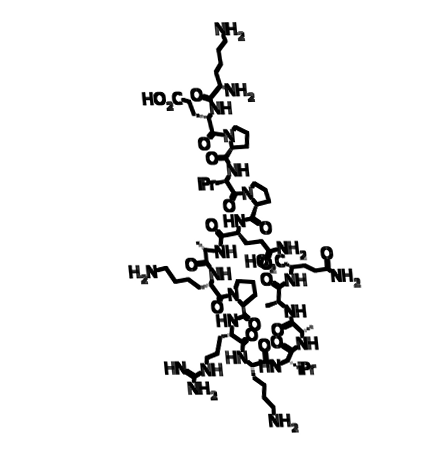 CC(C)[C@H](NC(=O)[C@H](CCCCN)NC(=O)[C@H](CCCNC(=N)N)NC(=O)[C@@H]1CCCN1C(=O)[C@H](CCCCN)NC(=O)[C@H](C)NC(=O)[C@H](CCC(N)=O)NC(=O)[C@@H]1CCCN1C(=O)[C@H](NC(=O)[C@@H]1CCCN1C(=O)[C@H](CCC(=O)O)NC(=O)[C@@H](N)CCCCN)C(C)C)C(=O)N[C@@H](C)C(=O)N[C@@H](C)C(=O)N[C@@H](CCC(N)=O)C(=O)O